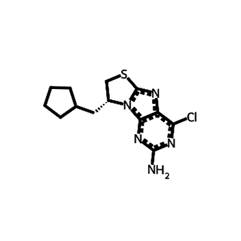 Nc1nc(Cl)c2nc3n(c2n1)[C@H](CC1CCCC1)CS3